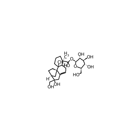 C[C@@]1(C(=O)O[C@@H]2O[C@H](CO)[C@@H](O)[C@H](O)[C@H]2O)CCC[C@]2(C)[C@@H]1CC=C1C[C@](O)(CO)[C@H]3CC[C@]12C3